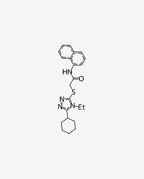 CCn1c(SCC(=O)Nc2cccc3ccccc23)nnc1C1CCCCC1